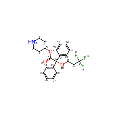 O=C(OC1CCNCC1)C(OCCC(F)(F)F)(c1ccccc1)c1ccccc1